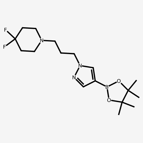 CC1(C)OB(c2cnn(CCCN3CCC(F)(F)CC3)c2)OC1(C)C